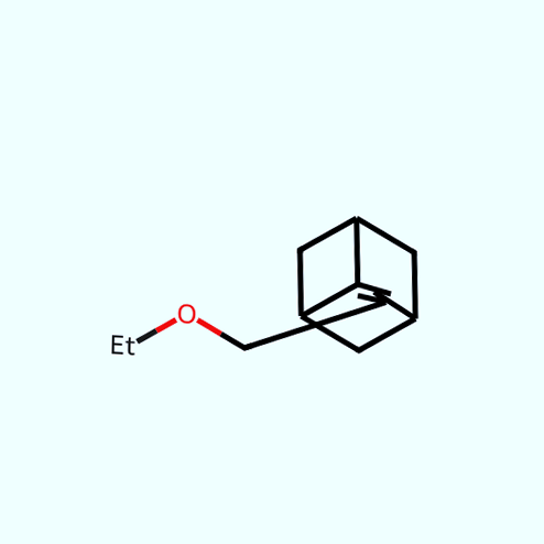 CCOCC1=C2C3CC(C1)CC2C3